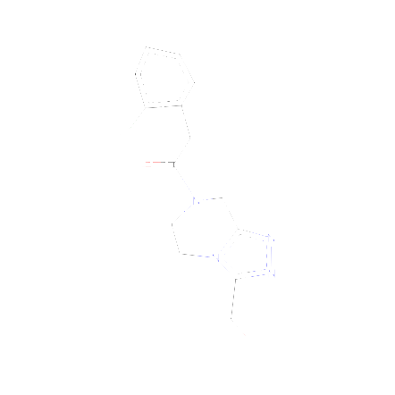 O=C(Cc1ccccc1Cl)N1CCn2c(CO)nnc2C1